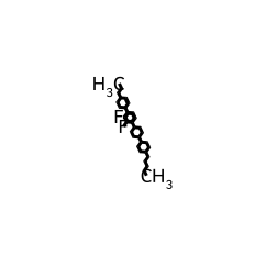 CCCCCC1CCC(C2CCC(c3ccc(C4C=CC(CCC)CC4)c(F)c3F)CC2)CC1